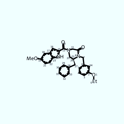 CCOc1cccc(CN2C(=O)CN(C(=O)c3cc4cc(OC)ccc4[nH]3)C[C@@H]2Cc2ccccc2)c1